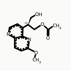 COc1ccc2nccc([C@@H](CO)COC(C)=O)c2n1